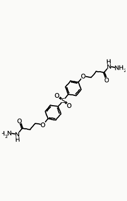 NNC(=O)CCOc1ccc(S(=O)(=O)c2ccc(OCCC(=O)NN)cc2)cc1